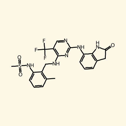 Cc1cccc(NS(C)(=O)=O)c1CNc1nc(Nc2cccc3c2NC(=O)C3)ncc1C(F)(F)F